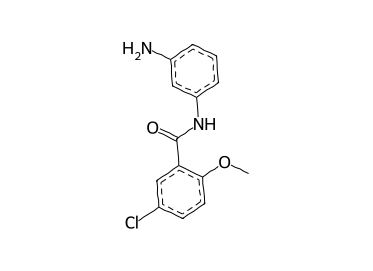 COc1ccc(Cl)cc1C(=O)Nc1cccc(N)c1